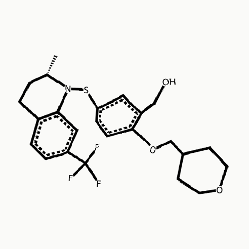 C[C@H]1CCc2ccc(C(F)(F)F)cc2N1Sc1ccc(OCC2CCOCC2)c(CO)c1